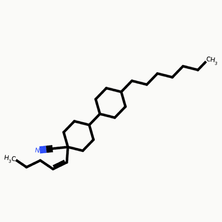 CCC/C=C\C1(C#N)CCC(C2CCC(CCCCCCC)CC2)CC1